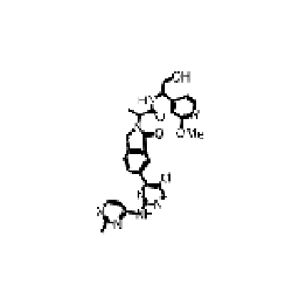 COc1cc(C(CO)NC(=O)C(C)N2Cc3ccc(-c4nc(Nc5ccnc(C)n5)ncc4Cl)cc3C2=O)ccn1